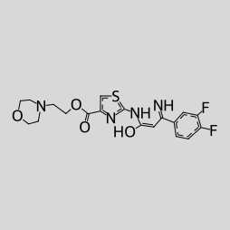 N=C(/C=C(/O)Nc1nc(C(=O)OCCN2CCOCC2)cs1)c1ccc(F)c(F)c1